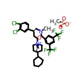 CN(C[C@@H](CC[N+]12CCC(C3CCCCC3)(CC1)CC2)c1ccc(Cl)c(Cl)c1)C(=O)c1cc(C(F)(F)F)cc(C(F)(F)F)c1.CS(=O)(=O)[O-]